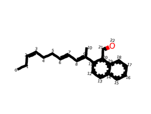 CC/C=C\CCC=CC=C(C)c1ccc2ccccc2c1C=O